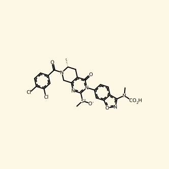 C[C@@H]1Cc2c(nc([S+](C)[O-])n(-c3ccc4c(N(C)C(=O)O)noc4c3)c2=O)CN1C(=O)c1ccc(Cl)c(Cl)c1